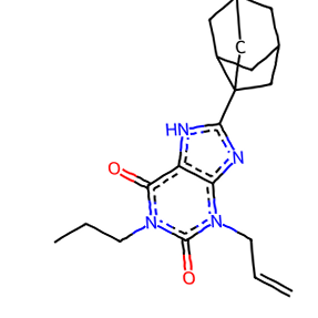 C=CCn1c(=O)n(CCC)c(=O)c2[nH]c(C34CC5CC(CC3C5)C4)nc21